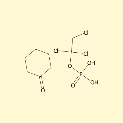 O=C1CCCCC1.O=P(O)(O)OC(Cl)(Cl)CCl